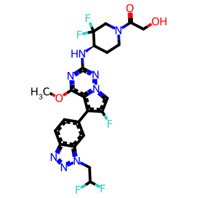 COc1nc(N[C@@H]2CCN(C(=O)CO)CC2(F)F)nn2cc(F)c(-c3ccc4nnn(CC(F)F)c4c3)c12